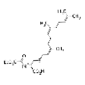 CCOC(=O)C(=O)N[C@@H](CSCC=C(C)CCC=C(C)CCC=C(C)C)C(=O)O